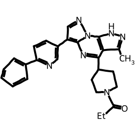 CCC(=O)N1CCC(c2nc3c(-c4ccc(-c5ccccc5)nc4)cnn3c3[nH]nc(C)c23)CC1